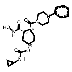 O=C(NC1CC1)O[C@H]1CC[C@H](C(=O)N2CCN(c3ccccc3)CC2)[C@@H](C(=O)NO)C1